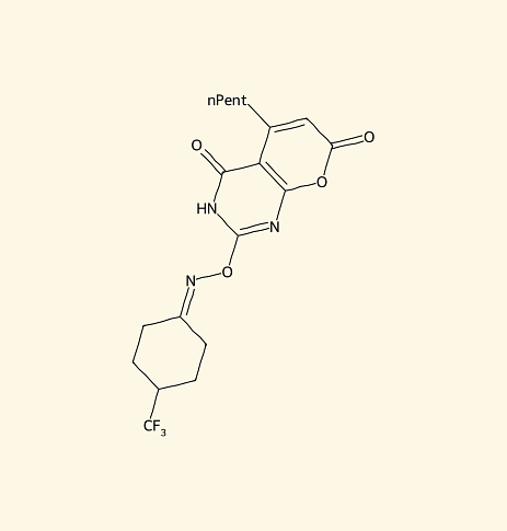 CCCCCc1cc(=O)oc2nc(ON=C3CCC(C(F)(F)F)CC3)[nH]c(=O)c12